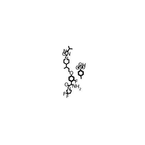 CC(C)c1noc(N2CCC(C(C)CCOc3ccc(C(N)C(=O)N4CCC(F)(F)C4)c(F)c3)CC2)n1.Cc1ccc(S(=O)(=O)O)cc1